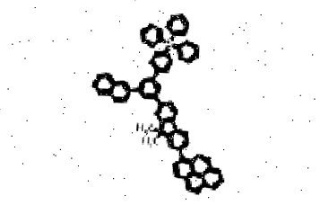 CC1(C)c2cc(-c3cc(-c4ccc([Si](c5ccccc5)(c5ccccc5)c5ccccc5)cc4)cc(-c4ccc5ccccc5c4)c3)ccc2-c2ccc(-c3ccc4ccc5cccc6ccc3c4c56)cc21